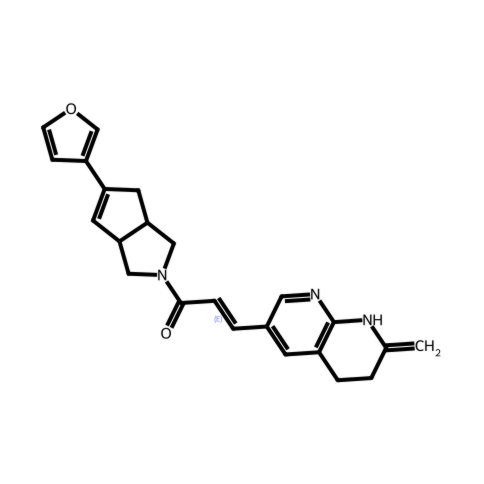 C=C1CCc2cc(/C=C/C(=O)N3CC4C=C(c5ccoc5)CC4C3)cnc2N1